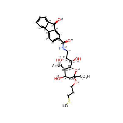 CCSCCCO[C@]1(C(=O)O)CC(O)[C@@H](NC(C)=O)[C@H]([C@H](O)[C@H](O)CNC(=O)c2ccc3c(c2)C(=O)c2ccccc2-3)O1